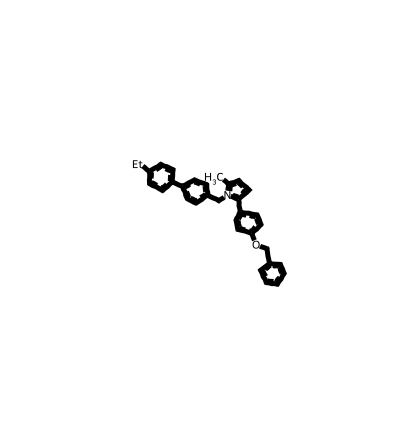 CCc1ccc(-c2ccc(Cn3c(C)ccc3-c3ccc(OCc4ccccc4)cc3)cc2)cc1